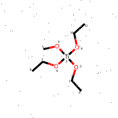 CC[O][Ti]([O]C)([O]CC)[O]CC